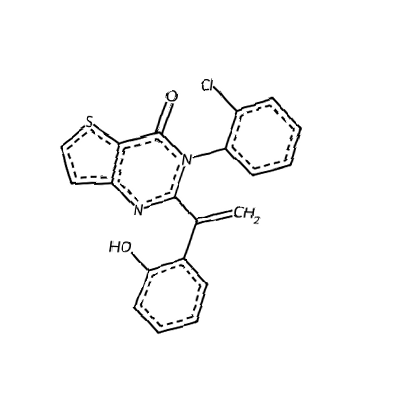 C=C(c1ccccc1O)c1nc2ccsc2c(=O)n1-c1ccccc1Cl